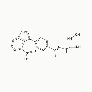 C/C(=N\NC(=N)NO)c1ccc(-n2ccc3cccc([N+](=O)[O-])c32)cc1